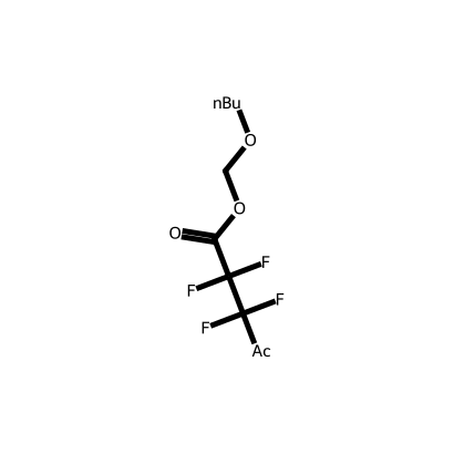 CCCCOCOC(=O)C(F)(F)C(F)(F)C(C)=O